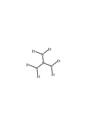 CC[N](CC)[Bi]([N](CC)CC)[N](CC)CC